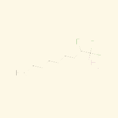 FC(CCCCCCC(F)(F)F)C(F)(F)P